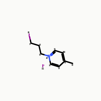 Cc1cc[n+](CCCI)cc1.[I-]